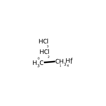 CC.Cl.Cl.[Hf]